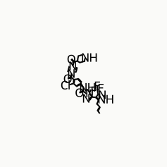 C/C=C/Cc1[nH]nc(C(F)(F)F)c1-c1cnc(C(=O)Nc2ccc(C(=O)N3CCN(C(=O)C4CCNCC4)CC3)c(Cl)c2)n1C